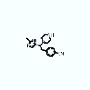 Cc1ncc(C(Cc2ccc(C#N)cc2)N2CCNCC2)[nH]1